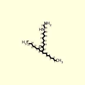 CCCCCCCCC(CCCCCCCC)CC(=O)CCCCCCCNCCN